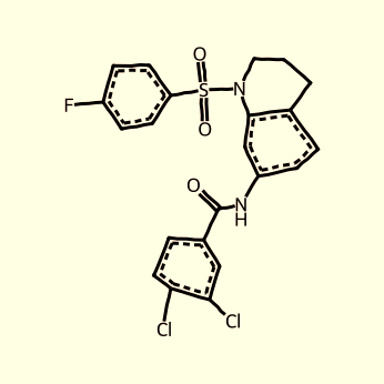 O=C(Nc1ccc2c(c1)N(S(=O)(=O)c1ccc(F)cc1)CCC2)c1ccc(Cl)c(Cl)c1